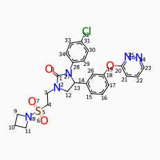 O=C1N(CCS(=O)(=O)N2CCC2)CC(c2cccc(Oc3cccnn3)c2)N1c1ccc(Cl)cc1